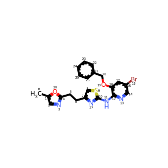 Cc1cnc(CCc2csc(Nc3ncc(Br)cc3OCc3ccccc3)n2)o1